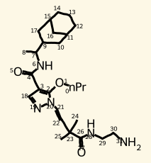 CCCOc1c(C(=O)NC(C)C2CC3CCCC(C3)C2)cnn1/C=C/C(C)(C)C(=O)NCCN